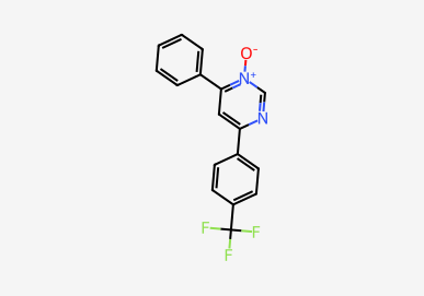 [O-][n+]1cnc(-c2ccc(C(F)(F)F)cc2)cc1-c1ccccc1